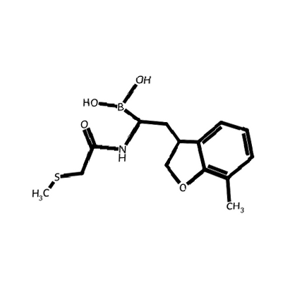 CSCC(=O)NC(CC1COc2c(C)cccc21)B(O)O